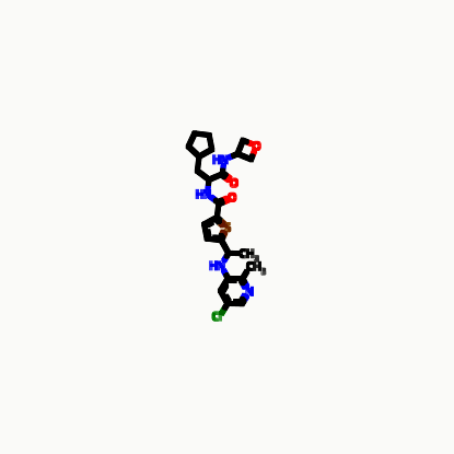 Cc1ncc(Cl)cc1NC(C)c1ccc(C(=O)NC(CC2CCCC2)C(=O)NC2COC2)s1